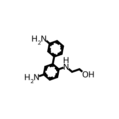 Nc1cccc(-c2cc(N)ccc2NCCO)c1